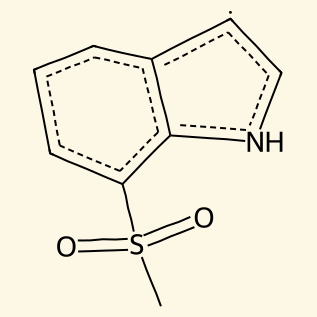 CS(=O)(=O)c1cccc2[c]c[nH]c12